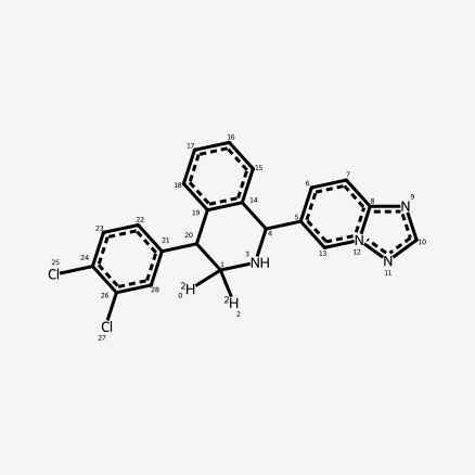 [2H]C1([2H])NC(c2ccc3ncnn3c2)c2ccccc2C1c1ccc(Cl)c(Cl)c1